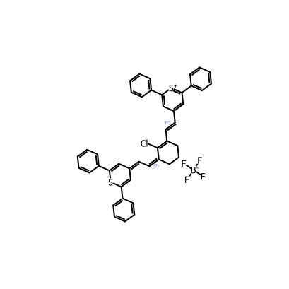 ClC1=C(/C=C/c2cc(-c3ccccc3)[s+]c(-c3ccccc3)c2)CCC/C1=C/C=C1C=C(c2ccccc2)SC(c2ccccc2)=C1.F[B-](F)(F)F